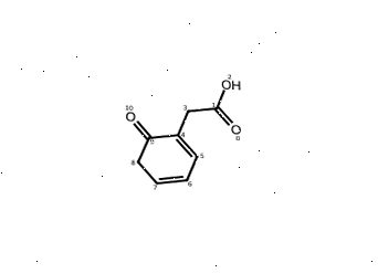 O=C(O)CC1=CC=CCC1=O